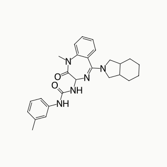 Cc1cccc(NC(=O)NC2N=C(N3CC4CCCCC4C3)c3ccccc3N(C)C2=O)c1